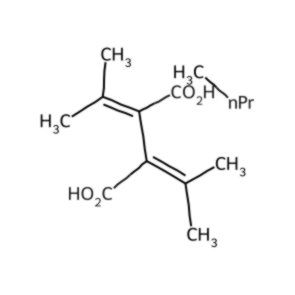 CC(C)=C(C(=O)O)C(C(=O)O)=C(C)C.CCCC